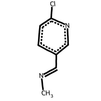 CN=Cc1ccc(Cl)nc1